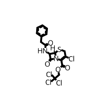 O=C(Cc1ccccc1)NC1C(=O)N2C(C(=O)OCC(Cl)(Cl)Cl)=C(Cl)CS[C@@H]12